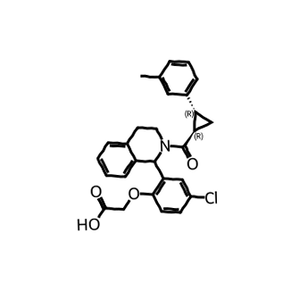 Cc1cccc([C@@H]2C[C@H]2C(=O)N2CCc3ccccc3C2c2cc(Cl)ccc2OCC(=O)O)c1